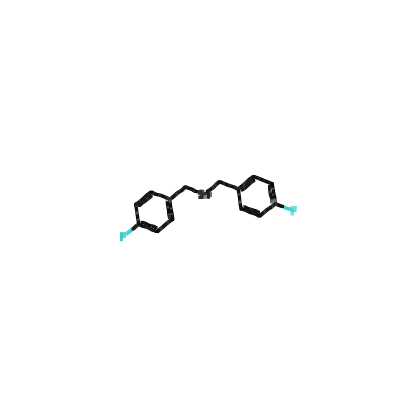 Fc1ccc([CH2][Sn][CH2]c2ccc(F)cc2)cc1